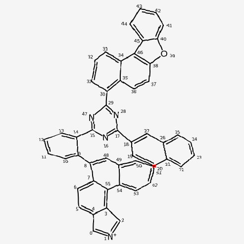 C1=[N+]=Cc2c1ccc1c(-c3ccccc3-c3nc(-c4ccc5ccccc5c4)nc(-c4cccc5c4ccc4oc6ccccc6c45)n3)cc3ccccc3c21